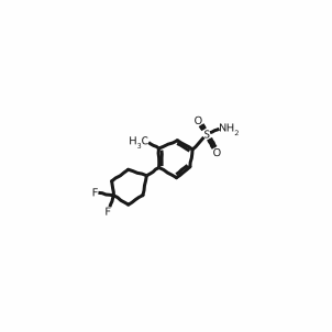 Cc1cc(S(N)(=O)=O)ccc1C1CCC(F)(F)CC1